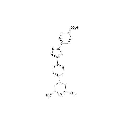 C[C@@H]1CN(c2ccc(-c3nnc(-c4ccc(C(=O)O)cc4)s3)cc2)C[C@H](C)O1